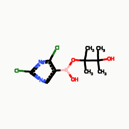 CC(C)(O)C(C)(C)OB(O)c1cnc(Cl)nc1Cl